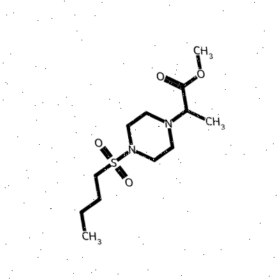 CCCCS(=O)(=O)N1CCN(C(C)C(=O)OC)CC1